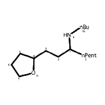 CCCCCC(CCC1CCCO1)NCCCC